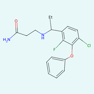 CCC(NCCC(N)=O)c1ccc(Cl)c(Oc2ccccc2)c1F